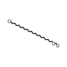 O=COCCCCCCCCCCCCCCCCCCCCCl